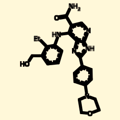 CCc1c(CO)cccc1Nc1c(C(N)=O)cnc2[nH]c(-c3ccc(N4CCOCC4)cc3)nc12